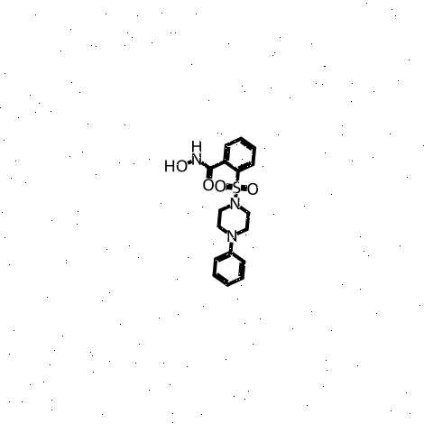 O=C(NO)c1ccccc1S(=O)(=O)N1CCN(c2ccccc2)CC1